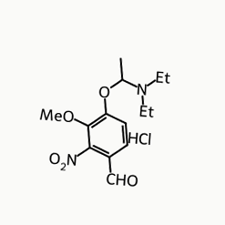 CCN(CC)C(C)Oc1ccc(C=O)c([N+](=O)[O-])c1OC.Cl